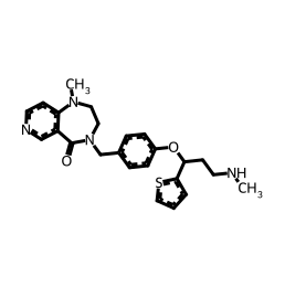 CNCCC(Oc1ccc(CN2CCN(C)c3ccncc3C2=O)cc1)c1cccs1